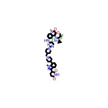 Cn1nc(C2CCC(=O)NC2=O)c2cccc(C3CCN(CC4CCN(c5ncc(Cl)c(Nc6ccc7c(c6)c6c(c(=O)n7C)OCC(F)(F)[C@H](C7CC7)N6)n5)CC4)CC3)c21